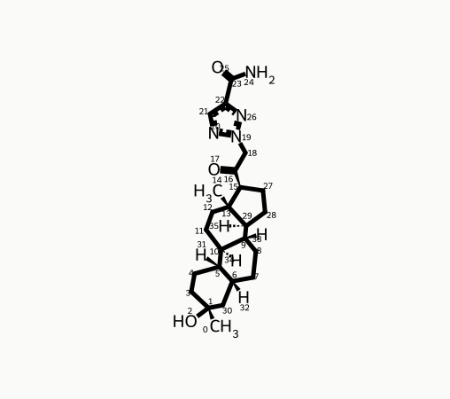 C[C@@]1(O)CC[C@H]2[C@H](CC[C@@H]3[C@@H]2CC[C@]2(C)[C@@H](C(=O)Cn4ncc(C(N)=O)n4)CC[C@@H]32)C1